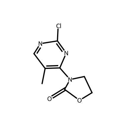 Cc1cnc(Cl)nc1N1CCOC1=O